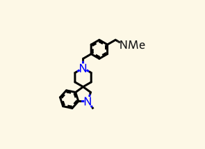 CNCc1ccc(CN2CCC3(CC2)CN(C)c2ccccc23)cc1